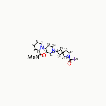 CNC(=O)[C@H]1CCCCN1C1CCN(C2CC3(CCN(C(=O)I)C3)C2)CC1